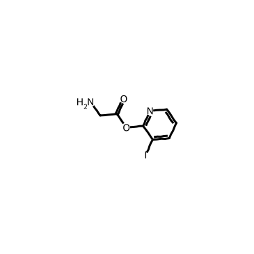 NCC(=O)Oc1ncccc1I